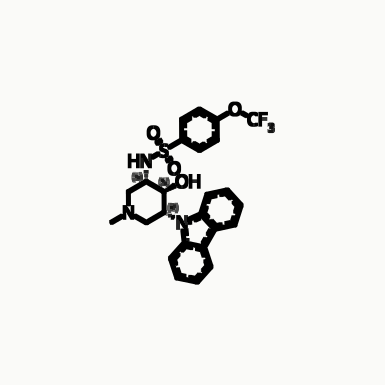 CN1C[C@H](NS(=O)(=O)c2ccc(OC(F)(F)F)cc2)[C@@H](O)[C@H](n2c3ccccc3c3ccccc32)C1